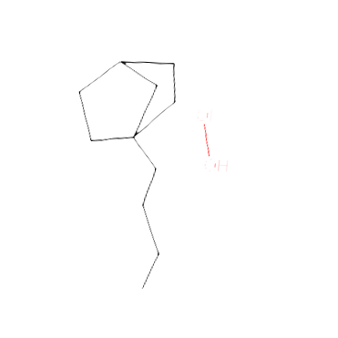 CCCCC12CCC(CC1)C2.OO